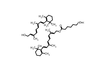 CC(C=CC1=C(C)CCCC1(C)C)=CC=CC(C)=CCO.CCCCCCCCCCCCCCCC(=O)OCC=C(C)C=CC=C(C)C=CC1=C(C)CCCC1(C)C